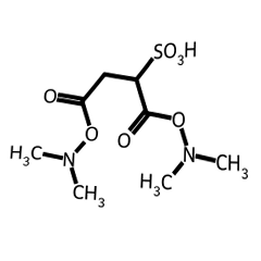 CN(C)OC(=O)CC(C(=O)ON(C)C)S(=O)(=O)O